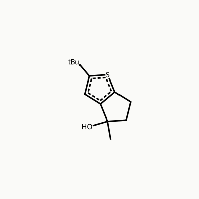 CC(C)(C)c1cc2c(s1)CCC2(C)O